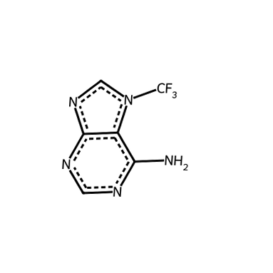 Nc1ncnc2ncn(C(F)(F)F)c12